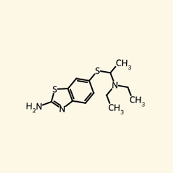 CCN(CC)C(C)Sc1ccc2nc(N)sc2c1